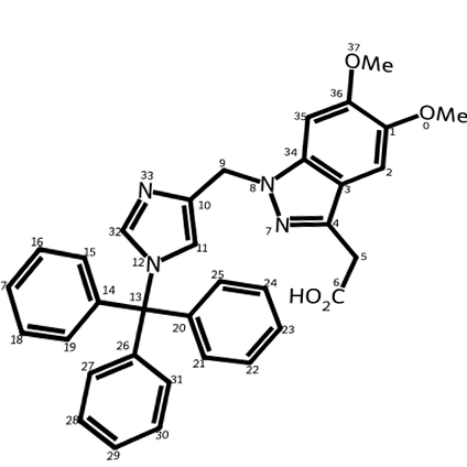 COc1cc2c(CC(=O)O)nn(Cc3cn(C(c4ccccc4)(c4ccccc4)c4ccccc4)cn3)c2cc1OC